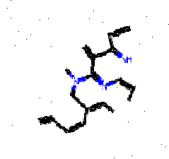 C=C/C=C\C(=C/C)CN(C)/C(=N/C=C\C)C(=C)C(=N)C=C